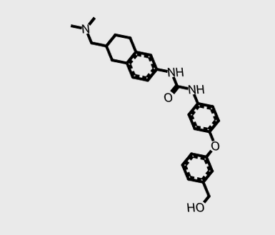 CN(C)CC1CCc2cc(NC(=O)Nc3ccc(Oc4cccc(CO)c4)cc3)ccc2C1